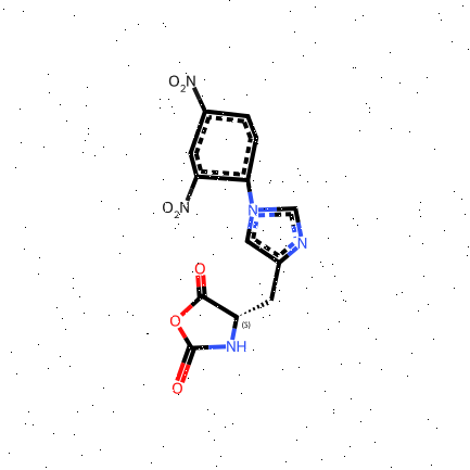 O=C1N[C@@H](Cc2cn(-c3ccc([N+](=O)[O-])cc3[N+](=O)[O-])cn2)C(=O)O1